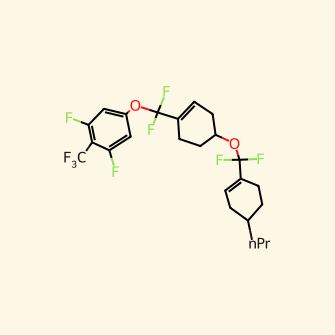 CCCC1CC=C(C(F)(F)OC2CC=C(C(F)(F)Oc3cc(F)c(C(F)(F)F)c(F)c3)CC2)CC1